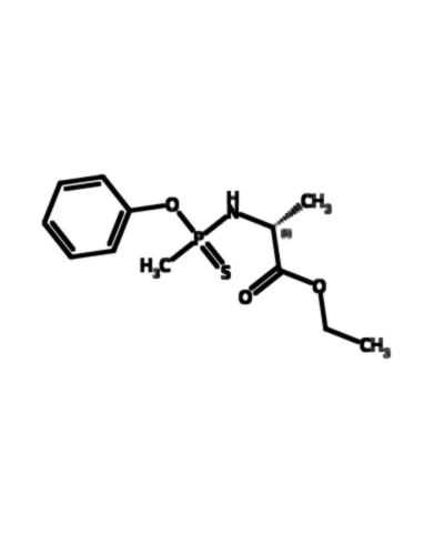 CCOC(=O)[C@@H](C)NP(C)(=S)Oc1ccccc1